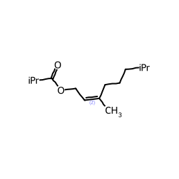 C/C(=C/COC(=O)C(C)C)CCCC(C)C